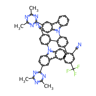 Cc1nc(C)nc(-c2ccc3c(c2)c2ccccc2n3-c2ccc(C#N)cc2-c2cc(-c3ccc(C(F)(F)F)cc3C#N)ccc2-n2c3ccccc3c3cc(-c4nc(C)nc(C)n4)ccc32)n1